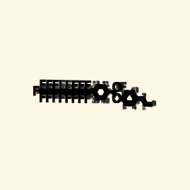 CCCc1ccc(OC(=O)[C@H]2CC[C@H](C(F)(F)C(F)(F)C(F)(F)C(F)(F)C(F)(F)C(F)(F)C(F)(F)C(F)(F)F)CC2)c(F)c1